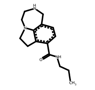 CCCNC(=O)c1ccc2c3c1CCN3CCNC2